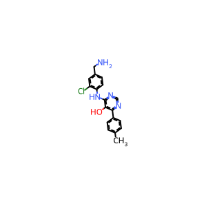 Cc1ccc(-c2ncnc(Nc3ccc(CN)cc3Cl)c2O)cc1